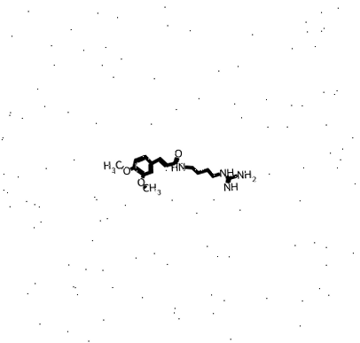 COc1ccc(C=CC(=O)NCCCCNC(=N)N)cc1OC